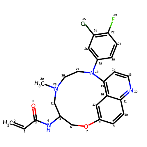 C=CC(=O)NC1COc2ccc3nccc(c3c2)N(c2ccc(F)c(Cl)c2)CCN(C)C1